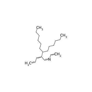 C=C/C=C(\C=N/C=C)C(CCCCCC)CCCCCC